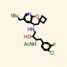 CC(=O)N[C@@H](Cc1ccc(Cl)c(F)c1)[C@@H](O)CN[C@H]1CC2(CCC2)Oc2ncc(CC(C)(C)C)cc21